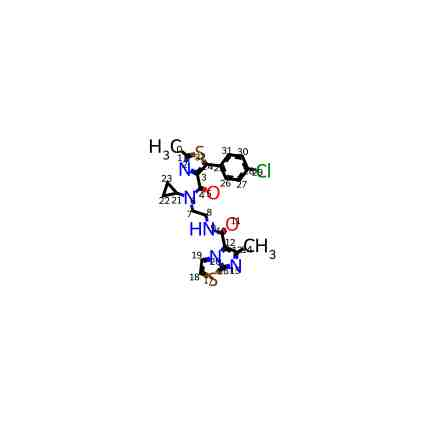 Cc1nc(C(=O)N(CCNC(=O)c2c(C)nc3sccn23)C2CC2)c(-c2ccc(Cl)cc2)s1